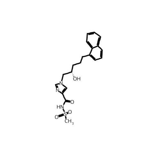 CS(=O)(=O)NC(=O)c1cn(C[C@@H](O)CCCc2cccc3ccccc23)cn1